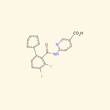 O=C(O)c1ccc(NC(=O)c2c(-c3ccccc3)ccc(F)c2F)nc1